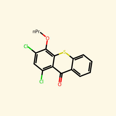 CCCOc1c(Cl)cc(Cl)c2c(=O)c3ccccc3sc12